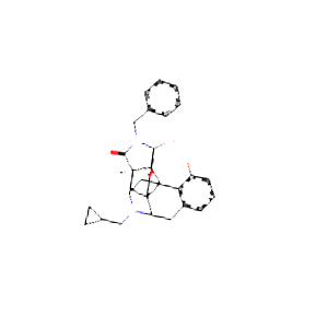 O=C1[C@H]2CC34CCC(O)(C2C32CCN(CC3CC3)C4Cc3cccc(O)c32)N1Cc1ccccc1